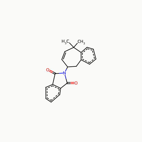 CC1(C)C=CC(N2C(=O)c3ccccc3C2=O)Cc2ccccc21